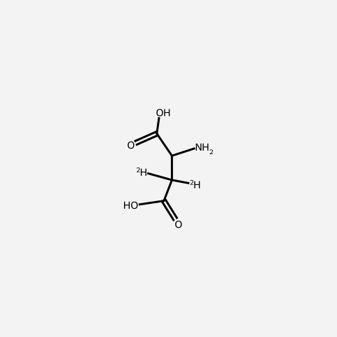 [2H]C([2H])(C(=O)O)C(N)C(=O)O